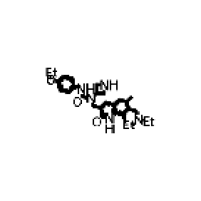 CCOc1ccc(NC(=O)N(Cc2cc3cc(C)c(CN(CC)CC)c(C)c3[nH]c2=O)C2CNC2)cc1